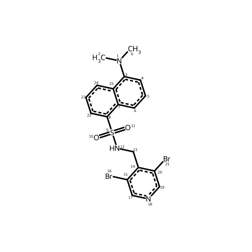 CN(C)c1cccc2c(S(=O)(=O)NCc3c(Br)cncc3Br)cccc12